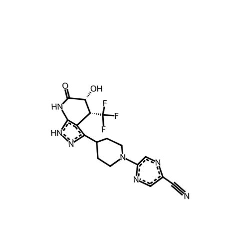 N#Cc1cnc(N2CCC(c3n[nH]c4c3[C@@H](C(F)(F)F)[C@@H](O)C(=O)N4)CC2)cn1